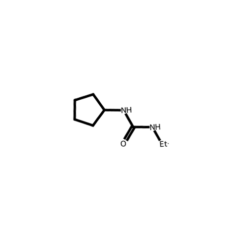 C[CH]NC(=O)NC1CCCC1